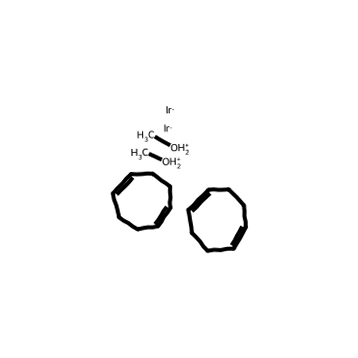 C1=C\CC/C=C\CC/1.C1=C\CC/C=C\CC/1.C[OH2+].C[OH2+].[Ir].[Ir]